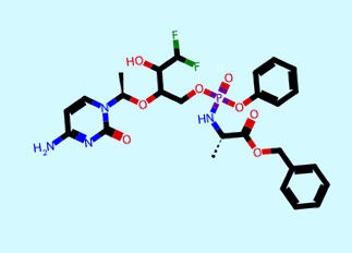 C[C@H](NP(=O)(OCC(O[C@H](C)n1ccc(N)nc1=O)C(O)C(F)F)Oc1ccccc1)C(=O)OCc1ccccc1